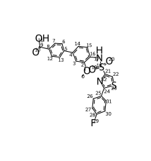 COc1cc(-c2ccc(C(=O)O)cc2)ccc1NS(=O)(=O)c1csc(-c2ccc(F)cc2)n1